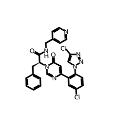 O=C(NCc1ccncc1)[C@H](Cc1ccccc1)n1cnc(-c2cc(Cl)ccc2-n2cc(Cl)nn2)cc1=O